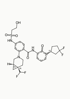 O=C(Nc1cccn([C@H]2CCC(F)(F)C2)c1=O)c1ccc(NS(=O)(=O)CCO)cc1N1CC[C@]2(C(F)F)C[C@@H]2C1